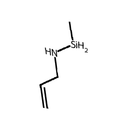 C=CCN[SiH2]C